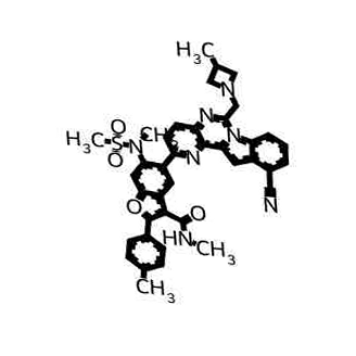 CNC(=O)c1c(-c2ccc(C)cc2)oc2cc(N(C)S(C)(=O)=O)c(-c3ccc4nc(CN5CC(C)C5)n5c6cccc(C#N)c6cc5c4n3)cc12